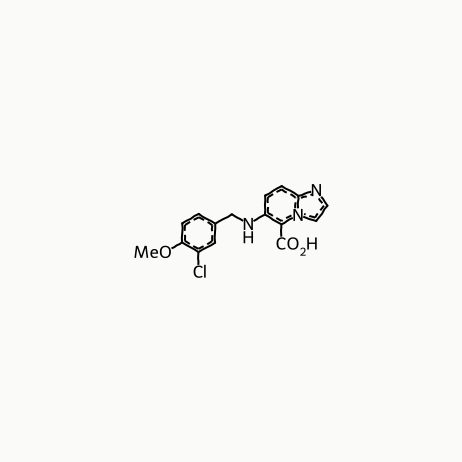 COc1ccc(CNc2ccc3nccn3c2C(=O)O)cc1Cl